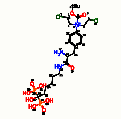 CC(C)(C)OC(=O)[N+](CCCl)(CCCl)c1ccc(C[C@H](N)C(=O)NCCCCCC(O)(P(=O)(O)O)P(=O)(O)O)cc1